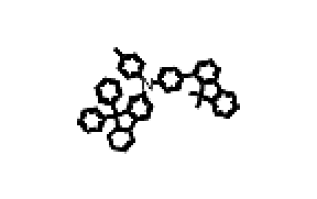 Cc1ccc(N(c2ccc(-c3cccc4c3C(C)(C)c3ccccc3-4)cc2)c2ccc3c(c2)C(c2ccccc2)(c2ccccc2)C2=C3C=CCC2)cc1